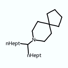 CCCCCCCC(CCCCCCC)N1CCC2(CCCC2)CC1